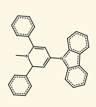 CN1C(c2ccccc2)=CC(n2c3ccccc3c3ccccc32)=CC1c1ccccc1